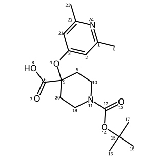 Cc1cc(OC2(C(=O)O)CCN(C(=O)OC(C)(C)C)CC2)cc(C)n1